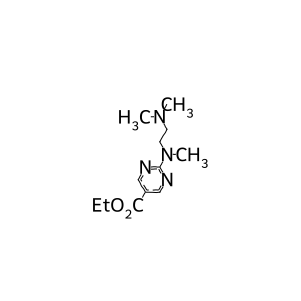 CCOC(=O)c1cnc(N(C)CCN(C)C)nc1